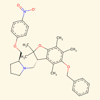 Cc1c(C)c2c(c(C)c1OCc1ccccc1)[C@H](CN1CCC[C@H]1COc1ccc([N+](=O)[O-])cc1)C(C)(C)O2